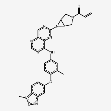 C=CC(=O)N1CC2C(C1)N2c1ncc2ncnc(Nc3ccc(Oc4ccc5c(c4)nnn5C)c(C)c3)c2n1